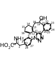 NC(Cc1ccc(-n2nnc3c2C2=C(CCC=C2)CC(O)c2ccccc2-3)cc1)C(=O)O